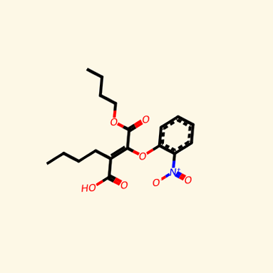 CCCCOC(=O)C(Oc1ccccc1[N+](=O)[O-])=C(CCCC)C(=O)O